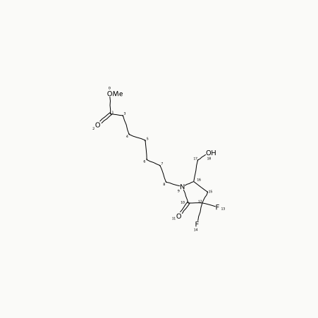 COC(=O)CCCCCCN1C(=O)C(F)(F)CC1CO